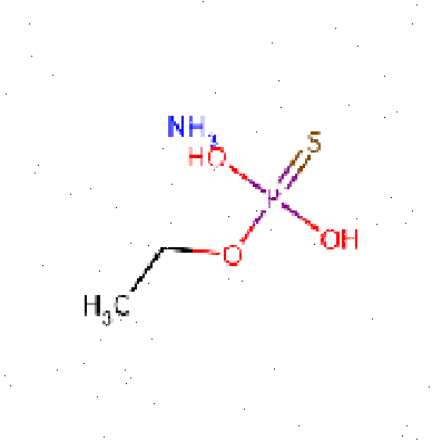 CCOP(O)(O)=S.N